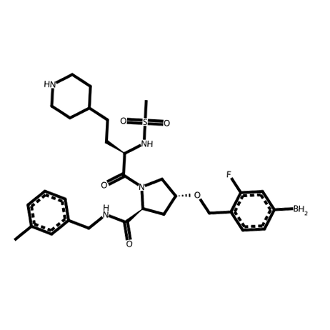 Bc1ccc(CO[C@@H]2C[C@@H](C(=O)NCc3cccc(C)c3)N(C(=O)[C@@H](CCC3CCNCC3)NS(C)(=O)=O)C2)c(F)c1